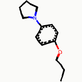 CCCOc1ccc(N2CCCC2)cc1